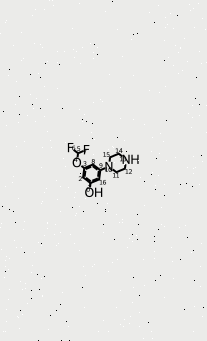 Oc1cc(OC(F)F)cc(N2CCNCC2)c1